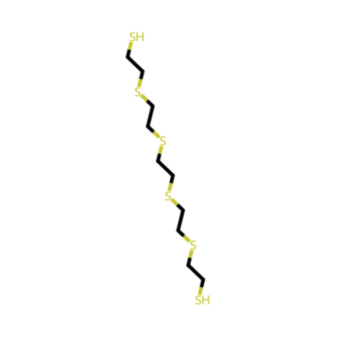 SCCSCCSCCSCCSCCS